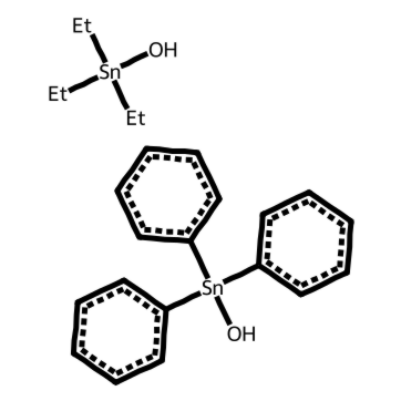 C[CH2][Sn]([OH])([CH2]C)[CH2]C.[OH][Sn]([c]1ccccc1)([c]1ccccc1)[c]1ccccc1